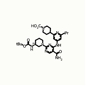 CC(C)c1cc(Nc2nc(N3CCC[C@H](NC(=O)OC(C)(C)C)C3)ncc2C(N)=O)cc(C2CCN(C(=O)O)CC2)n1